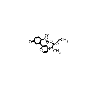 CCOC(=O)[C@@H](C)N1C=COC(C2=C([N+](=O)[O-])C=CC(=O)C2)=C1